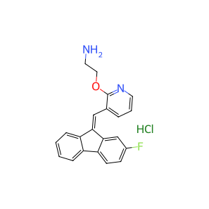 Cl.NCCOc1ncccc1C=C1c2ccccc2-c2ccc(F)cc21